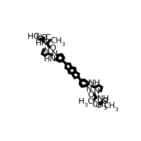 COC(=O)N[C@@H](C(=O)N1CCCC1c1nc2ccc(C3Cc4cc5c(cc4C3)CC(c3ccc4nc(C6CCCN6C(=O)C(NC(=O)CO)C(C)C)[nH]c4c3)C5)cc2[nH]1)C(C)C